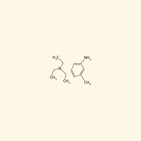 CCN(CC)CC.Cc1cccc(N)c1